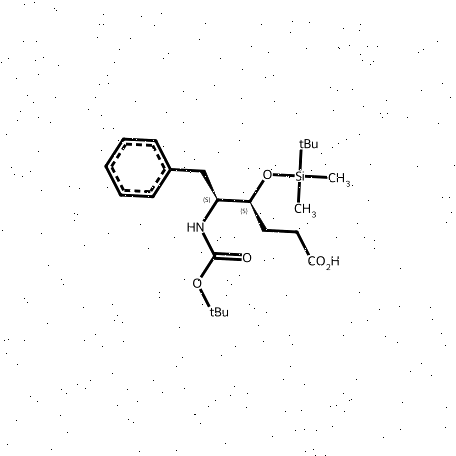 CC(C)(C)OC(=O)N[C@@H](Cc1ccccc1)[C@H](CCC(=O)O)O[Si](C)(C)C(C)(C)C